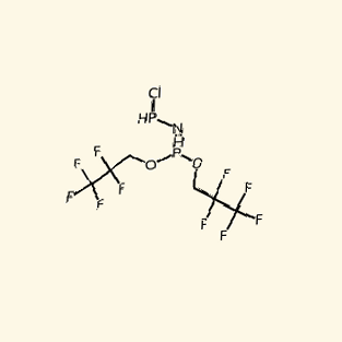 FC(F)(F)C(F)(F)CO[PH](=NPCl)OCC(F)(F)C(F)(F)F